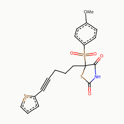 COc1ccc(S(=O)(=O)C2(CCCC#Cc3cccs3)SC(=O)NC2=O)cc1